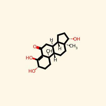 C[C@]12CC[C@H]3[C@@H](CC(=O)C4=C(O)[C@@H](O)CC[C@@]43C)[C@@H]1CC[C@@H]2O